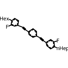 CCCCCCCc1ccc(C#Cc2ccc(C#Cc3ccc(CCCCCC)c(F)c3)cc2)cc1F